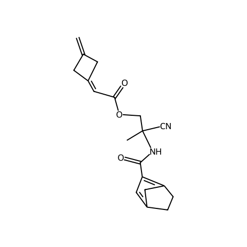 C=C1CC(=CC(=O)OCC(C)(C#N)NC(=O)C2=C3CCC(=C2)C3)C1